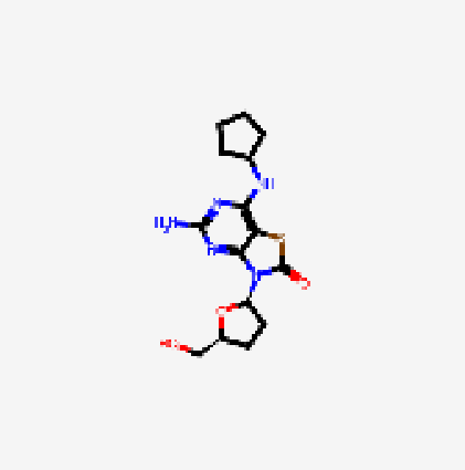 Nc1nc(NC2CCCC2)c2sc(=O)n([C@H]3CC[C@@H](CO)O3)c2n1